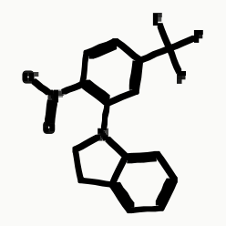 O=[N+]([O-])c1ccc(C(F)(F)F)cc1N1CCc2ccccc21